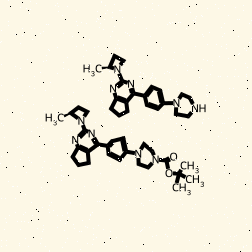 C[C@H]1CCN1c1nc2c(c(-c3ccc(N4CCN(C(=O)OC(C)(C)C)CC4)cc3)n1)CCC2.C[C@H]1CCN1c1nc2c(c(-c3ccc(N4CCNCC4)cc3)n1)CCC2